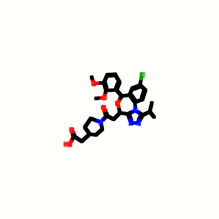 COc1cccc(C2OC(CC(=O)N3CCC(CC(=O)O)CC3)c3nnc(C(C)C)n3-c3ccc(Cl)cc32)c1OC